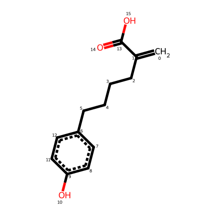 C=C(CCCCc1ccc(O)cc1)C(=O)O